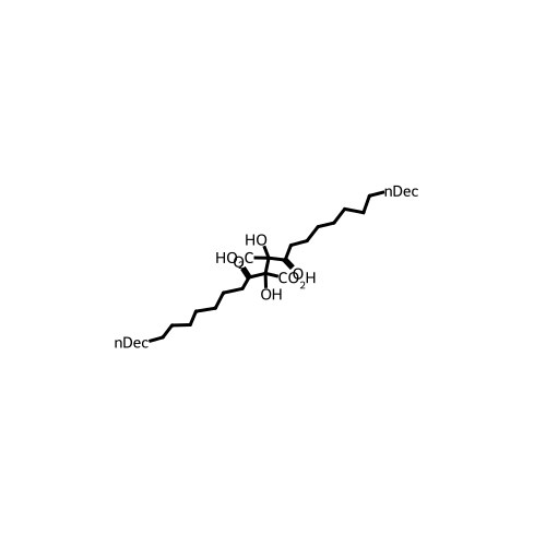 CCCCCCCCCCCCCCCCCC(=O)C(O)(C(=O)O)C(O)(C(=O)O)C(=O)CCCCCCCCCCCCCCCCC